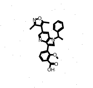 COc1c(C(=O)O)cccc1-c1cn(C(C)c2ccccc2)c2cc(-c3c(C)noc3C)cnc12